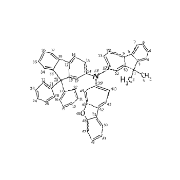 CC1(C)c2ccccc2-c2ccc(N(c3ccc4c(c3)C(c3ccccc3)(c3ccccc3)c3ccccc3-4)c3ccc4c(c3)oc3ccccc34)cc21